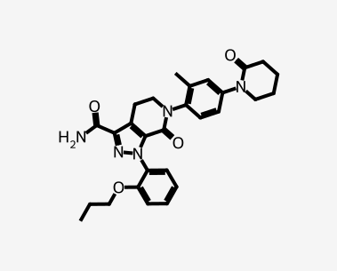 CCCOc1ccccc1-n1nc(C(N)=O)c2c1C(=O)N(c1ccc(N3CCCCC3=O)cc1C)CC2